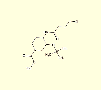 CC(C)(C)OC(=O)N1CCC(NC(=O)CCCCl)C(O[Si](C)(C)C(C)(C)C)C1